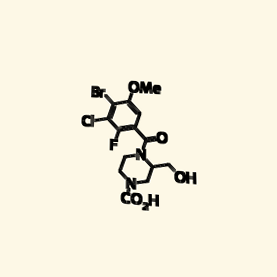 COc1cc(C(=O)N2CCN(C(=O)O)CC2CO)c(F)c(Cl)c1Br